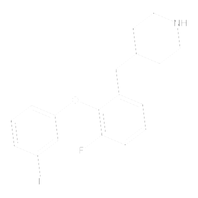 Fc1cccc(Oc2c(F)cccc2CC2CCNCC2)c1